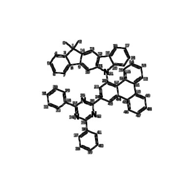 CC1(C)c2ccccc2-c2cc3c(cc21)c1ccccc1n3-c1cc(-c2nc(-c3ccccc3)nc(-c3ccccc3)n2)cc2c3ccccc3c3ccccc3c12